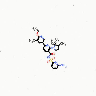 CCOc1ncc(-c2ccc(C(=O)NS(=O)(=O)c3cccc(N)n3)c(N3CCC(C)C3(C)C)n2)cc1C